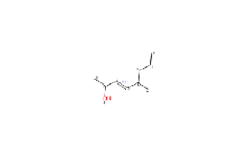 [CH2]C(O)/C=C/C(C)CCC